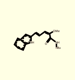 CCCCNC(=O)/C(=C\C=C\c1cc2ccccc2[nH]1)OC